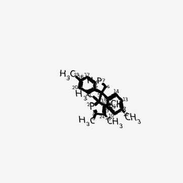 CC1=PC(C)(C(CP)(c2ccc(C)cc2)c2ccc(C)cc2)C(C)=C1C